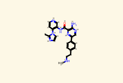 BNCCc1ccc(-c2cnc(N)c(C(=O)Nc3cnccc3-n3ccnc3C)n2)cc1